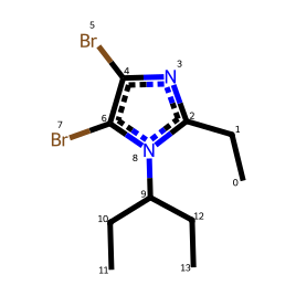 CCc1nc(Br)c(Br)n1C(CC)CC